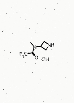 CN(C(=O)C(F)(F)F)C1CNC1.Cl